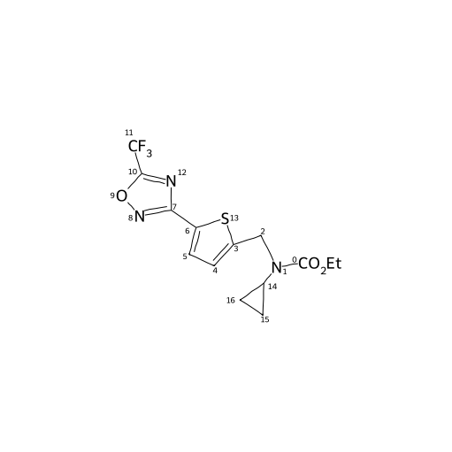 CCOC(=O)N(Cc1ccc(-c2noc(C(F)(F)F)n2)s1)C1CC1